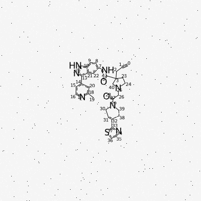 C#CCC1(C(=O)Nc2ccc3[nH]nc(-c4ccnc(C)c4)c3c2)CCN(CC(=O)N2CC=C(c3nccs3)CC2)C1